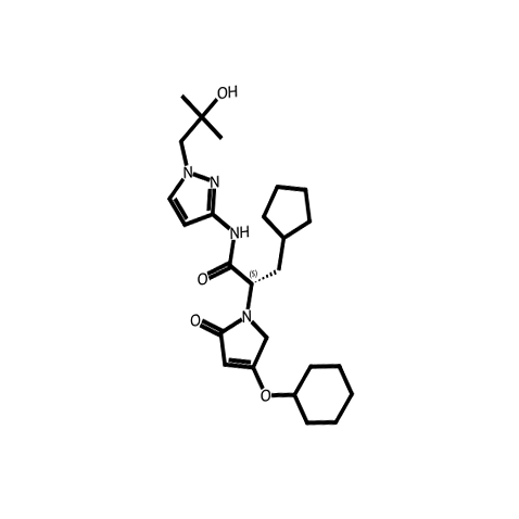 CC(C)(O)Cn1ccc(NC(=O)[C@H](CC2CCCC2)N2CC(OC3CCCCC3)=CC2=O)n1